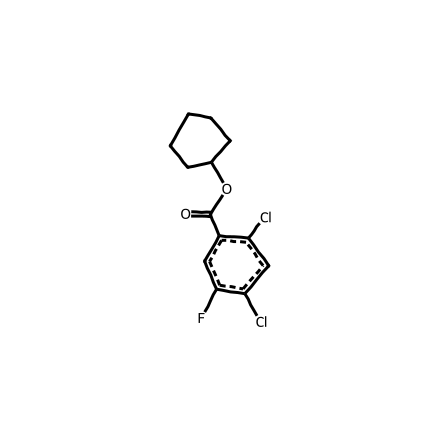 O=C(OC1CCCCC1)c1cc(F)c(Cl)cc1Cl